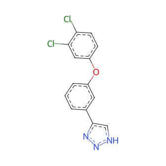 Clc1ccc(Oc2cccc(-c3c[nH]nn3)c2)cc1Cl